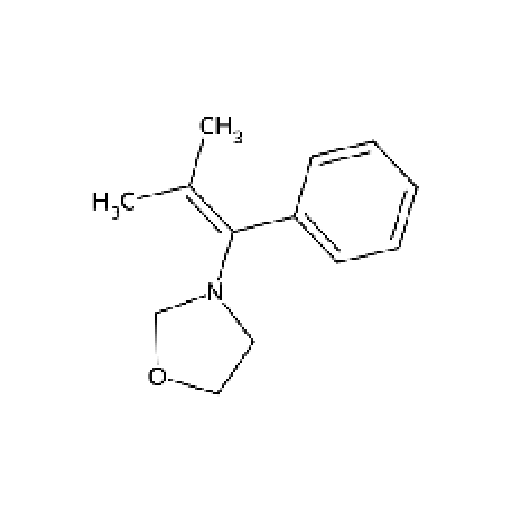 CC(C)=C(c1ccccc1)N1CCOC1